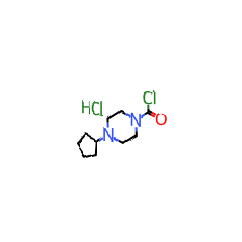 Cl.O=C(Cl)N1CCN(C2CCCC2)CC1